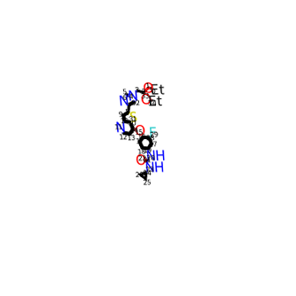 CCOC(Cn1cnc(-c2cc3nccc(Oc4ccc(NC(=O)NC5CC5)cc4F)c3s2)c1)OCC